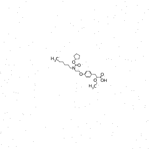 CCCCCCN(CCOc1ccc(CC(OCC)C(=O)O)cc1)C(=O)OC1CCCC1